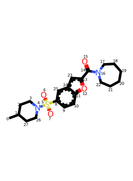 CC1CCN(S(=O)(=O)c2ccc3oc(C(=O)N4CCCCCC4)cc3c2)CC1